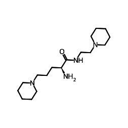 N[C@@H](CCCN1CCCCC1)C(=O)NCCN1CCCCC1